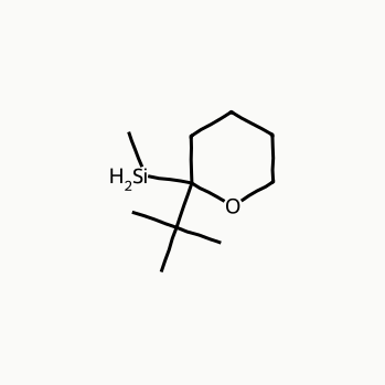 C[SiH2]C1(C(C)(C)C)CCCCO1